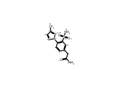 NC(=O)Cc1ccc(-n2ncc(C(F)(F)F)n2)c(S(N)(=O)=O)c1